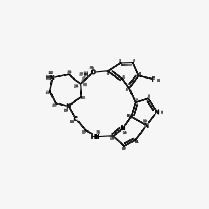 Fc1ccc2cc1-c1cnn3ccc(nc13)NCCN1CCNC[C@H](C1)O2